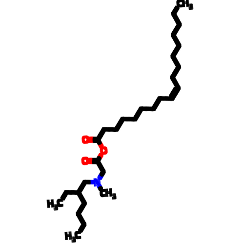 CCCCCCCC/C=C\CCCCCCCC(=O)OC(=O)CN(C)CC(CC)CCCC